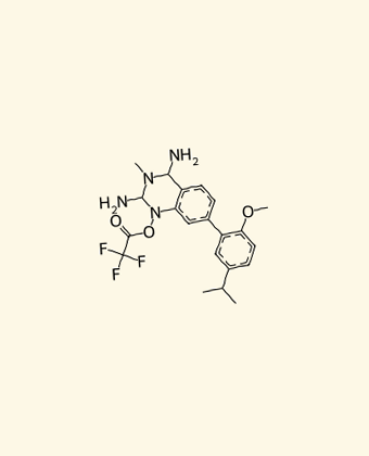 COc1ccc(C(C)C)cc1-c1ccc2c(c1)N(OC(=O)C(F)(F)F)C(N)N(C)C2N